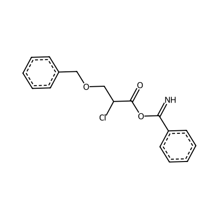 N=C(OC(=O)C(Cl)COCc1ccccc1)c1ccccc1